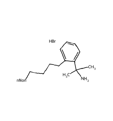 Br.CCCCCCCCCCCCCc1ccccc1C(C)(C)N